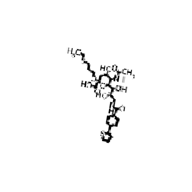 CCSCCCO[C@]1(C(=O)O)CC(O)[C@@H](NC(C)=O)C([C@H](O)[C@H](O)CNC(=O)c2ccc(-c3cccs3)cc2)O1